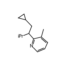 Cc1cccnc1C(CC1CC1)C(C)C